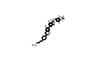 CCCCCC1CCC(C2COc3cc(-c4cc(F)c(C(F)(F)Oc5cc(F)c(OC(F)(F)F)c(F)c5)c(F)c4)c(F)cc3C2)CC1